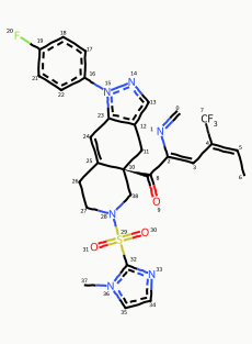 C=N/C(=C\C(=C/C)C(F)(F)F)C(=O)[C@]12Cc3cnn(-c4ccc(F)cc4)c3C=C1CCN(S(=O)(=O)c1nccn1C)C2